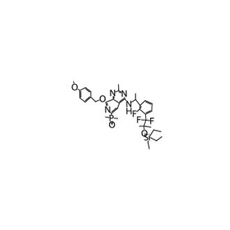 CC[Si](CC)(CC)OC(C)(C)C(F)(F)c1cccc(C(C)Nc2nc(C)nc3c(OCc4ccc(OC)cc4)nc(P(C)(C)=O)cc23)c1F